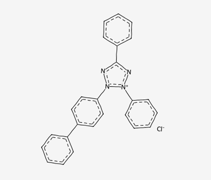 [Cl-].c1ccc(-c2ccc(-n3nc(-c4ccccc4)n[n+]3-c3ccccc3)cc2)cc1